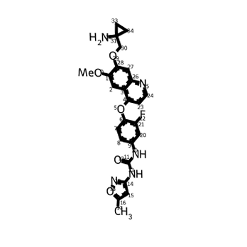 COc1cc2c(Oc3ccc(NC(=O)Nc4cc(C)on4)cc3F)ccnc2cc1OCC1(N)CC1